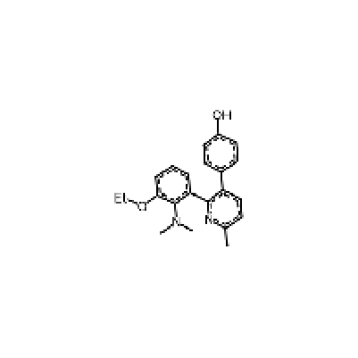 CCOc1cccc(-c2nc(C)ccc2-c2ccc(O)cc2)c1N(C)C